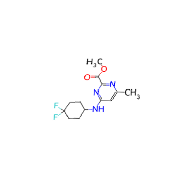 COC(=O)c1nc(C)cc(NC2CCC(F)(F)CC2)n1